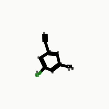 [C]#Cc1cc(C)cc(Cl)c1